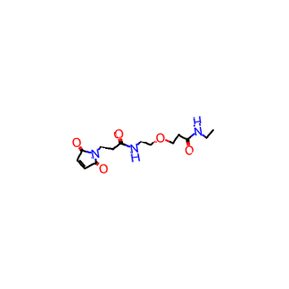 CCNC(=O)CCOCCNC(=O)CCN1C(=O)C=CC1=O